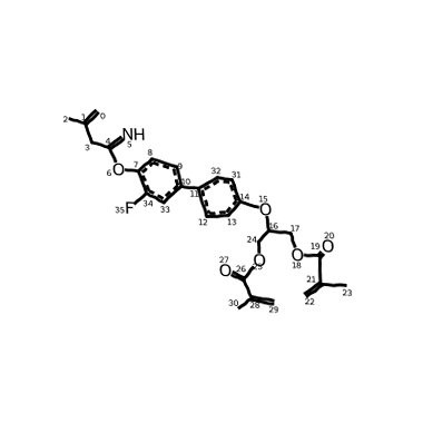 C=C(C)CC(=N)Oc1ccc(-c2ccc(OC(COC(=O)C(=C)C)COC(=O)C(=C)C)cc2)cc1F